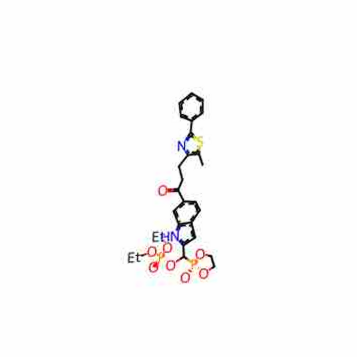 CCOP(=O)(OCC)OC(c1cc2ccc(C(=O)CCc3nc(-c4ccccc4)sc3C)cc2[nH]1)P1(=O)OCCO1